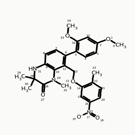 COc1ccc(-c2ccc3c(c2COc2cc([N+](=O)[O-])ccc2C)N(C)C(=O)C(C)(C)N3)c(OC)c1